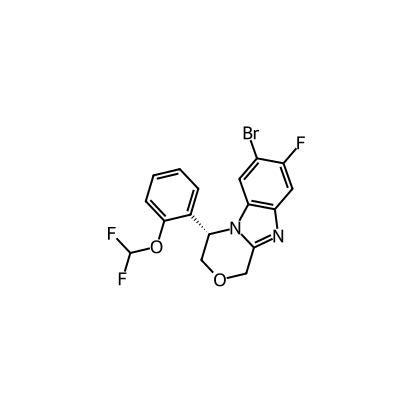 Fc1cc2nc3n(c2cc1Br)[C@@H](c1ccccc1OC(F)F)COC3